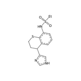 CCS(=O)(=O)Nc1cccc2c1SCCC2c1c[nH]cn1